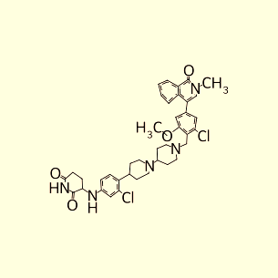 COc1cc(-c2cn(C)c(=O)c3ccccc23)cc(Cl)c1CN1CCC(N2CCC(c3ccc(NC4CCC(=O)NC4=O)cc3Cl)CC2)CC1